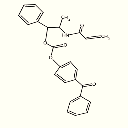 C=CC(=O)NC(C)C(OC(=O)Oc1ccc(C(=O)c2ccccc2)cc1)c1ccccc1